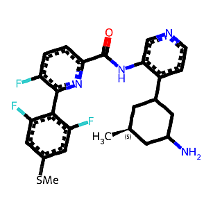 CSc1cc(F)c(-c2nc(C(=O)Nc3cnccc3C3CC(N)C[C@@H](C)C3)ccc2F)c(F)c1